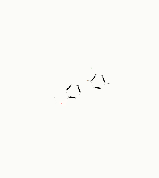 CCOC(=O)C(C)Oc1ccc(Sc2ccc(C(F)(F)F)cc2Br)cc1